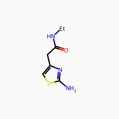 [CH2]CNC(=O)Cc1csc(N)n1